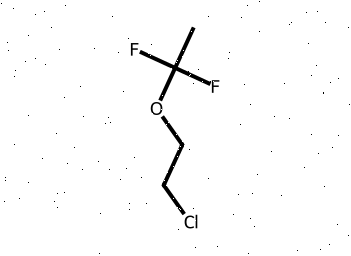 CC(F)(F)OCCCl